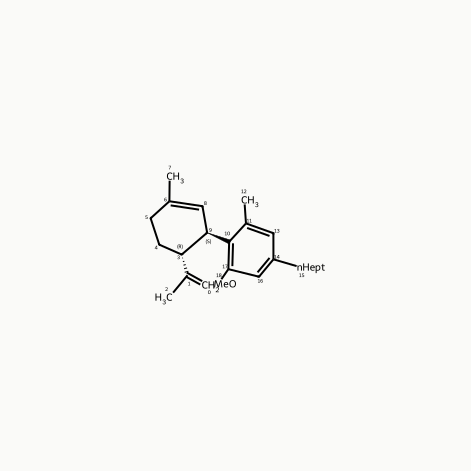 C=C(C)[C@@H]1CCC(C)=C[C@H]1c1c(C)cc(CCCCCCC)cc1OC